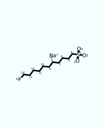 O=S(=O)([O-])CCCCCCCCCCCF.[Na+]